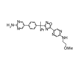 COCCNc1cnc(-c2nc(C(C)(c3ccc(-c4cnc(N)nc4)cc3)C(C)C)no2)cn1